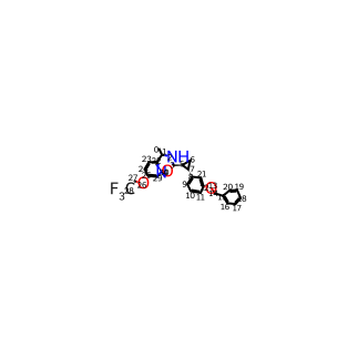 CC(NC(=O)[C@H]1C[C@@H]1c1cccc(OCc2ccccc2)c1)c1ccc(OCC(F)(F)F)cn1